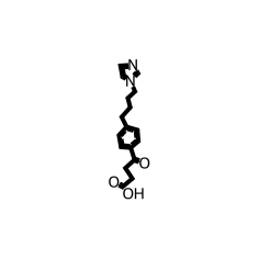 O=C(O)CCC(=O)c1ccc(CCCCn2ccnc2)cc1